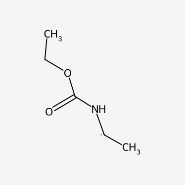 C[CH]NC(=O)OCC